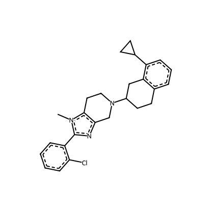 Cn1c(-c2ccccc2Cl)nc2c1CCN(C1CCc3cccc(C4CC4)c3C1)C2